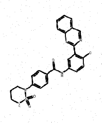 O=C(Nc1ccc(Cl)c(-c2ncc3ccccc3n2)c1)c1ccc(N2CCCNS2(=O)=O)cc1